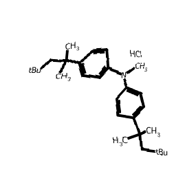 CN(c1ccc(C(C)(C)CC(C)(C)C)cc1)c1ccc(C(C)(C)CC(C)(C)C)cc1.Cl